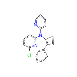 Clc1cccc(N(C2=C(c3ccccc3)C=C2)c2ccccn2)n1